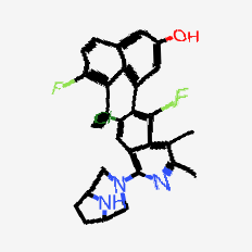 C#Cc1c(F)ccc2cc(O)cc(-c3c(Cl)cc4c(N5CC6CCC(C5)N6)nc(C)c(C)c4c3F)c12